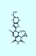 COC1c2c(c(=O)[nH]c(=O)n2C2CC2)C=C(F)C1c1cc2c(s1)CCC(CO)C2